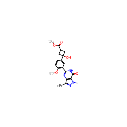 CCCc1nn(C)c2c(=O)[nH]c(-c3cc(C4(O)CC(C(=O)OC(C)(C)C)C4)ccc3OCC)nc12